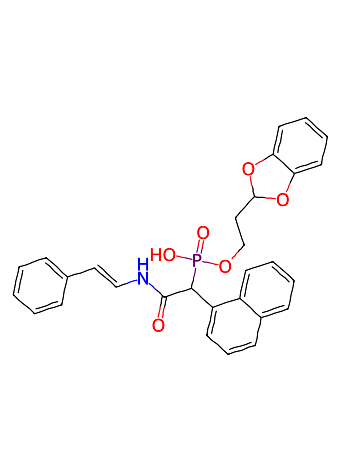 O=C(N/C=C/c1ccccc1)C(c1cccc2ccccc12)P(=O)(O)OCCC1Oc2ccccc2O1